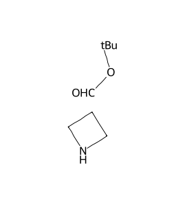 C1CNC1.CC(C)(C)OC=O